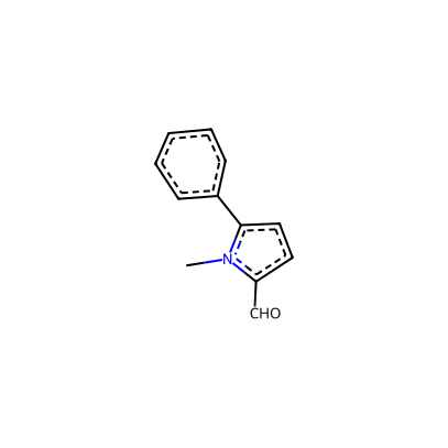 Cn1c(C=O)ccc1-c1ccccc1